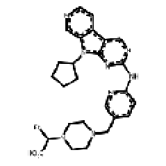 CCC(C(=O)O)N1CCN(Cc2ccc(Nc3ncc4c5ccncc5n(C5CCCC5)c4n3)nc2)CC1